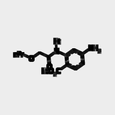 CCCOCC(=O)N(CC)c1cc(N)ccc1C(=O)OCC